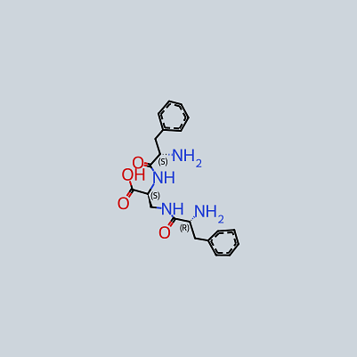 N[C@H](Cc1ccccc1)C(=O)NC[C@H](NC(=O)[C@@H](N)Cc1ccccc1)C(=O)O